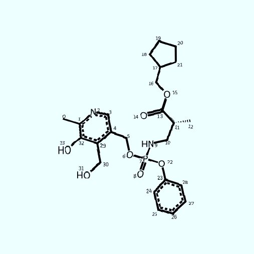 Cc1ncc(COP(=O)(NC[C@@H](C)C(=O)OCC2CCCC2)Oc2ccccc2)c(CO)c1O